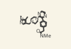 CNC(=O)Cc1ccc(-c2nccnc2N2CCN(Cc3cnn(C)c3C)CC2)cc1